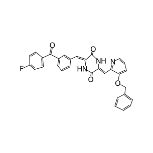 O=C(c1ccc(F)cc1)c1cccc(C=c2[nH]c(=O)c(=Cc3ncccc3OCc3ccccc3)[nH]c2=O)c1